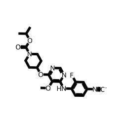 [C-]#[N+]c1ccc(Nc2ncnc(OC3CCN(C(=O)OC(C)C)CC3)c2OC)c(F)c1